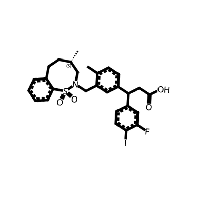 Cc1ccc(C(CC(=O)O)c2ccc(I)c(F)c2)cc1CN1C[C@@H](C)CCc2ccccc2S1(=O)=O